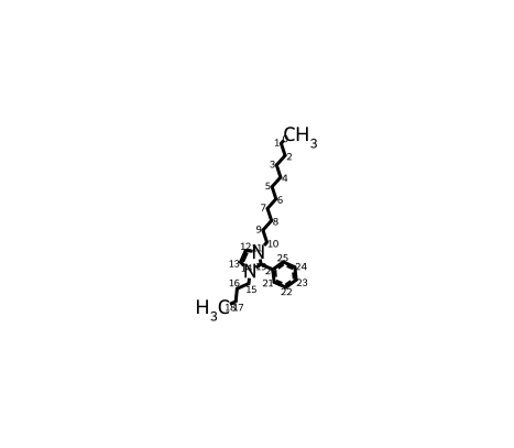 CCCCCCCCCCCN1C=CN(CCCC)C1c1ccccc1